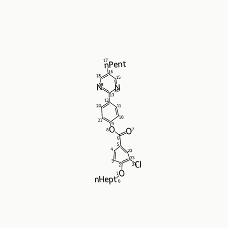 CCCCCCCOc1ccc(C(=O)Oc2ccc(-c3ncc(CCCCC)cn3)cc2)cc1Cl